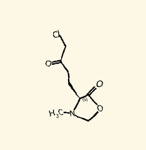 CN1COC(=O)[C@@H]1CCC(=O)CCl